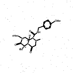 CCCCCCN1C[C@H]2N(C(=O)CN(C)N2C(=O)NCc2ccc(OC)cc2)[C@@H](C(C)CC)C1=O